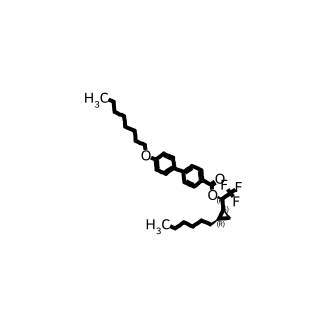 CCCCCCCCOc1ccc(-c2ccc(C(=O)O[C@H]([C@H]3C[C@H]3CCCCCC)C(F)(F)F)cc2)cc1